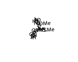 C=C1C[C@H]2C=Nc3cc(OCc4cc(COc5cc6c(cc5OC)C(=O)N5CC(=C)C[C@H]5C=N6)cc(N(C)C[C@H](C)SSC)c4)c(OC)cc3C(=O)N2C1